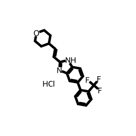 Cl.FC(F)(F)c1ccccc1-c1ccc2[nH]c(C=CC3CCOCC3)nc2c1